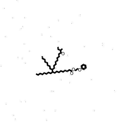 CCCCCCCCC(CCCCCCCCC(=O)OCCOc1ccccc1)C(CCCCCCCC)CCCCCCCCC(=O)C(C)CC